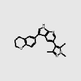 Cc1nn(C)c(C)c1-c1cnc2[nH]cc(-c3ccc4c(c3)CCCO4)c2c1